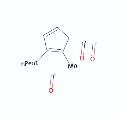 CCCCCC1=[C]([Mn])CC=C1.[C]=O.[C]=O.[C]=O